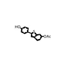 CC(=O)Oc1ccc2cc(-c3ccc(O)cc3)sc2c1